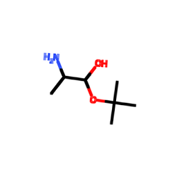 CC(N)C(O)OC(C)(C)C